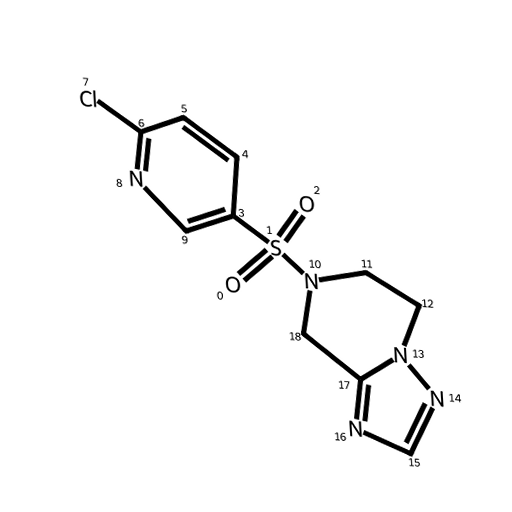 O=S(=O)(c1ccc(Cl)nc1)N1CCn2ncnc2C1